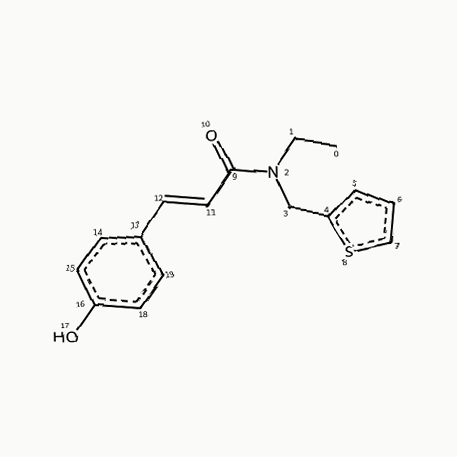 CCN(Cc1cccs1)C(=O)C=Cc1ccc(O)cc1